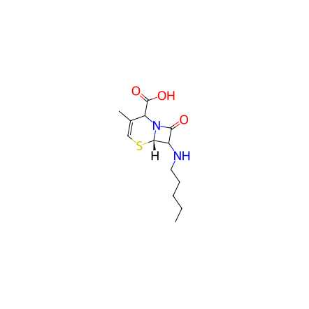 CCCCCNC1C(=O)N2C(C(=O)O)C(C)=CS[C@@H]12